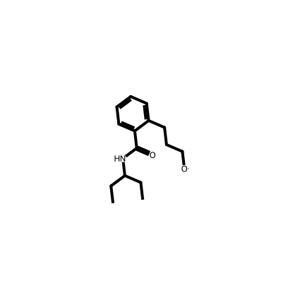 CCC(CC)NC(=O)c1ccccc1CCC[O]